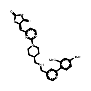 COc1ccc(-c2cc(CNCC3CCN(c4nccc(C=C5SC(=O)NC5=O)n4)CC3)ccn2)c(OC)c1